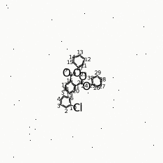 Clc1ccccc1.O=C(Oc1ccccc1)c1ccccc1C(=O)Oc1ccccc1